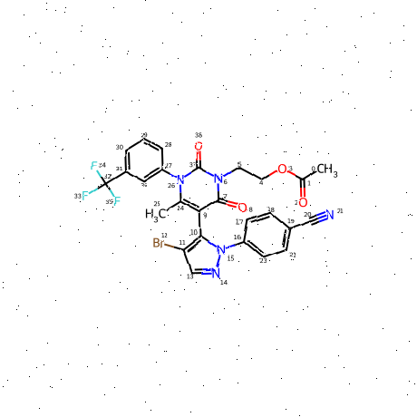 CC(=O)OCCn1c(=O)c(-c2c(Br)cnn2-c2ccc(C#N)cc2)c(C)n(-c2cccc(C(F)(F)F)c2)c1=O